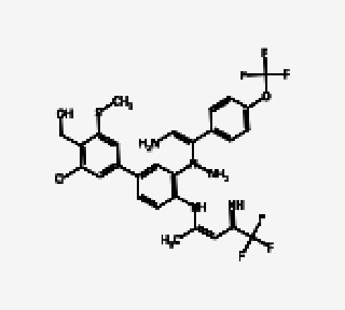 CSc1cc(-c2ccc(N/C(C)=C\C(=N)C(F)(F)F)c(N(N)/C(=C\N)c3ccc(OC(F)(F)F)cc3)c2)cc(Cl)c1CO